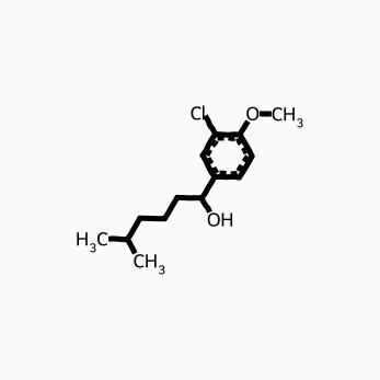 COc1ccc(C(O)CCCC(C)C)cc1Cl